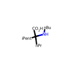 CCCCNC(CCC)(C(=O)O)C(C)CCC